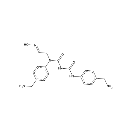 NCc1ccc(NC(=O)NC(=O)N(CC=NO)c2ccc(CN)cc2)cc1